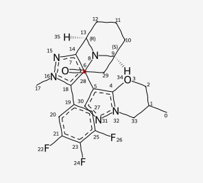 CC1COc2c(C(=O)N3[C@H]4CCC[C@@H]3c3nn(C)c(-c5cc(F)c(F)c(F)c5)c3C4)cnn2C1